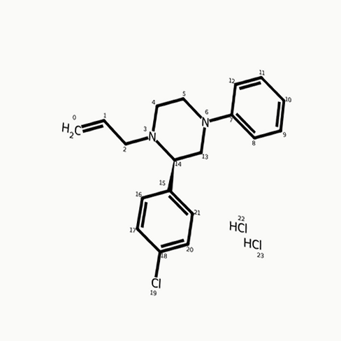 C=CCN1CCN(c2ccccc2)C[C@H]1c1ccc(Cl)cc1.Cl.Cl